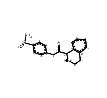 N[N+](=O)c1ccc(CC(=O)C2NCCc3c[c]ccc32)cc1